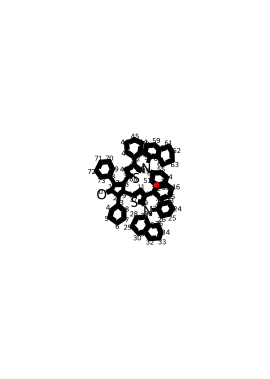 O=C1C(c2ccccc2)=C(c2cc(-c3ccccc3)c(N(c3ccccc3)c3cccc4ccccc34)s2)C(c2cc(-c3ccccc3)c(N(c3ccccc3)c3cccc4ccccc34)s2)=C1c1ccccc1